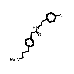 CNCCCc1ccc(CC(=O)NCCc2ccc(C(C)=O)cc2)cc1